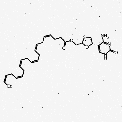 CC/C=C\C/C=C\C/C=C\C/C=C\C/C=C\C/C=C\CCC(=O)OC[C@@H]1O[C@@H](c2c[nH]c(=O)nc2N)CS1